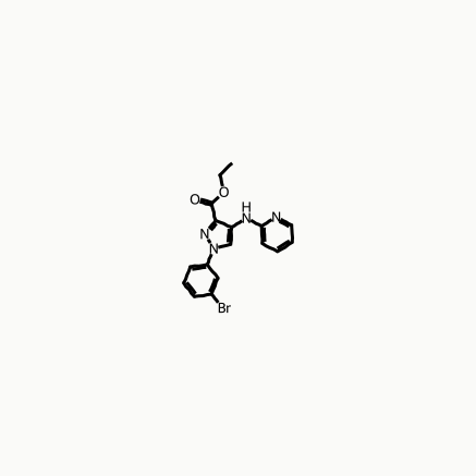 CCOC(=O)c1nn(-c2cccc(Br)c2)cc1Nc1ccccn1